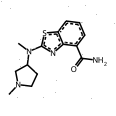 CN1CCC(N(C)c2nc3c(C(N)=O)c[c]cc3s2)C1